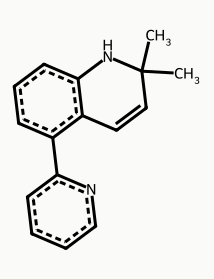 CC1(C)C=Cc2c(cccc2-c2ccccn2)N1